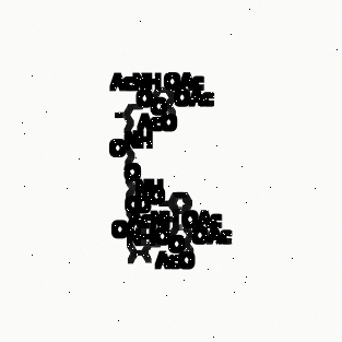 CC(=O)N[C@H]1C(OC(C)=O)[C@@H](OC(C)=O)C(COC(C)=O)O[C@H]1OCCC(C)CCNC(=O)CCOCC(COCCC(=O)NCC(C)C(C)CCO[C@@H]1OC(COC(C)=O)[C@H](OC(C)=O)C(OC(C)=O)[C@@H]1NC(C)=O)NC(=O)OCc1ccccc1